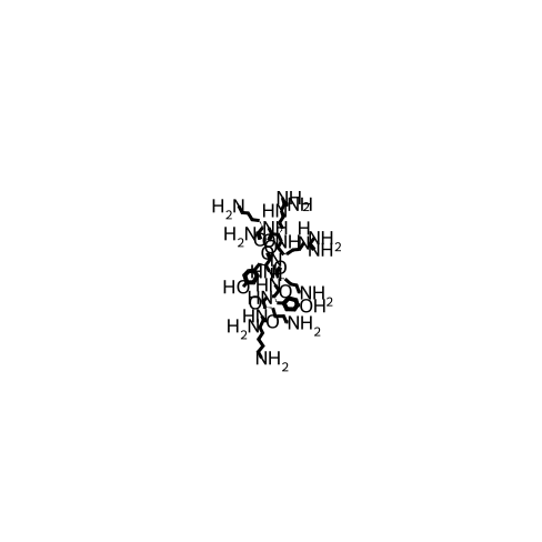 N=C(N)NCCC[C@H](NC(=O)[C@H](CCCNC(=N)N)NC(=O)[C@H](Cc1ccc(O)cc1)NC(=O)[C@H](CCCCN)NC(=O)[C@H](Cc1ccc(O)cc1)NC(=O)[C@H](CCCCN)NC(=O)[C@@H](N)CCCCN)C(=O)N[C@@H](CCCCN)C(N)=O